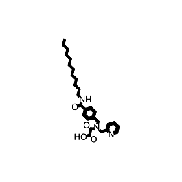 CCCCCCCCCCCCNC(=O)c1ccc(CN(Cc2ccccn2)C(=O)C(=O)O)cc1